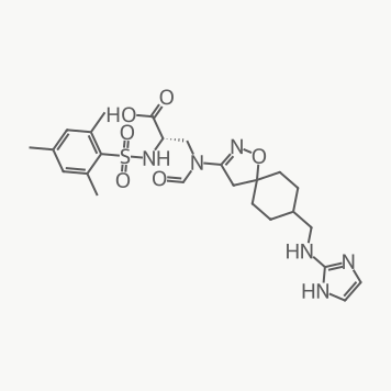 Cc1cc(C)c(S(=O)(=O)N[C@@H](CN(C=O)C2=NOC3(CCC(CNc4ncc[nH]4)CC3)C2)C(=O)O)c(C)c1